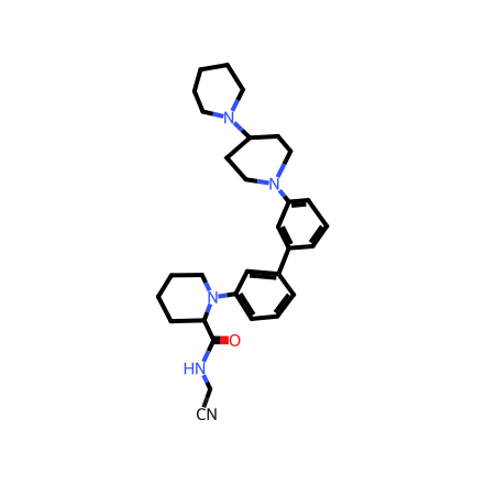 N#CCNC(=O)C1CCCCN1c1cccc(-c2cccc(N3CCC(N4CCCCC4)CC3)c2)c1